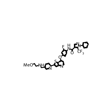 COCCNCc1ccc(-c2cc3nccc(Oc4ccc(NC(=O)c5cnn(-c6ccccc6)c5C(F)(F)F)c(F)c4)c3s2)nc1